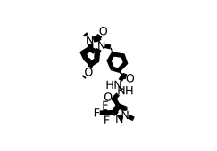 COc1ccc2c(c1)n(C[C@H]1CC[C@H](C(=O)NNC(=O)c3cn(C)nc3C(F)(F)F)CC1)c(=O)n2C